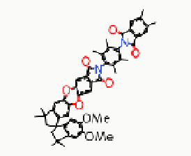 COc1cc2c(cc1OC)C1(CC2(C)C)CC(C)(C)c2cc3oc4cc5c(=O)n(-c6c(C)c(C)c(N7C(=O)c8cc(C)c(C)cc8C7=O)c(C)c6C)c(=O)c5cc4oc3cc21